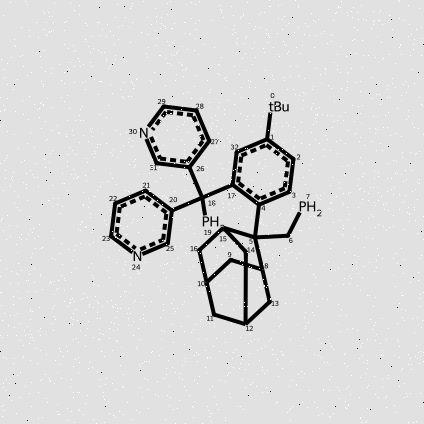 CC(C)(C)c1ccc(C2(CP)C3CC4CC(C3)CC2C4)c(C(P)(c2cccnc2)c2cccnc2)c1